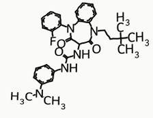 CN(C)c1cccc(NC(=O)NC2C(=O)N(CCC(C)(C)C)c3ccccc3N(c3ccccc3F)C2=O)c1